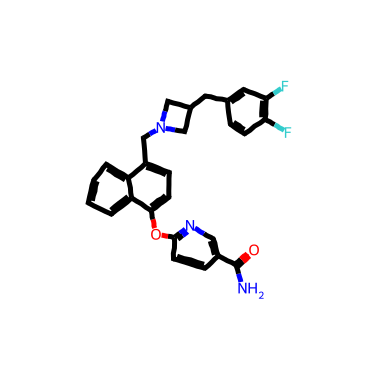 NC(=O)c1ccc(Oc2ccc(CN3CC(Cc4ccc(F)c(F)c4)C3)c3ccccc23)nc1